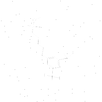 CO[Si](C)(C)CCCCCc1cc(C(F)(F)F)cc(C(F)(F)F)c1